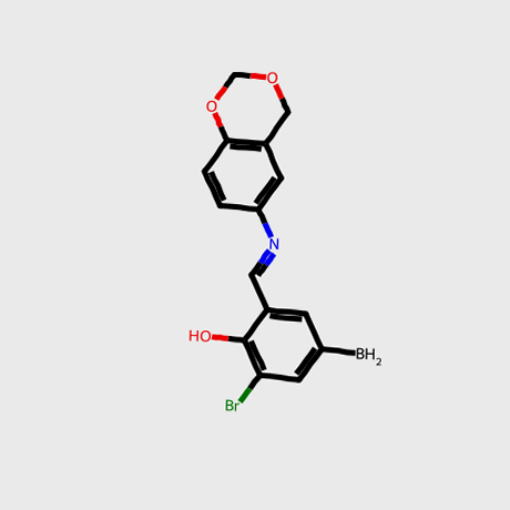 Bc1cc(Br)c(O)c(/C=N/c2ccc3c(c2)COCO3)c1